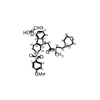 COc1ccc(S(=O)(=O)N2CCc3c(n(CC(=O)N(C)CCN4CCOCC4)c4ccccc34)C2)cc1.O=CNO